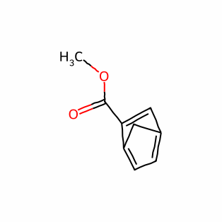 COC(=O)C1=CC2=CC=C1C2